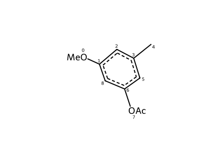 COc1cc(C)cc(OC(C)=O)c1